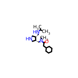 CC(C)NC[C@H]1CNC[C@H]1CN(C)C(=O)CC1CCCCC1